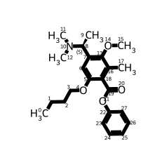 CCCCOc1cc([C@H](C)N(C)C)c(OC)c(C)c1C(=O)Oc1ccccc1